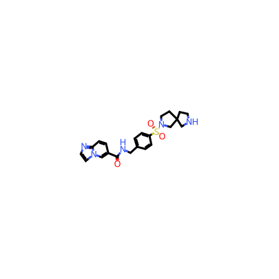 O=C(NCc1ccc(S(=O)(=O)N2CCC3(CCNC3)C2)cc1)c1ccc2nccn2c1